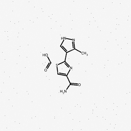 Cc1n[nH]cc1-c1nc(C(N)=O)cs1.O=CO